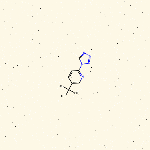 CCCC(C)(C)c1ccc(-n2cnnn2)nc1